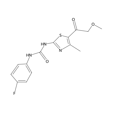 COCC(=O)c1sc(NC(=O)Nc2ccc(F)cc2)nc1C